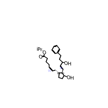 CC(C)OC(=O)CCC/C=C\C[C@H]1CCC(O)[C@@H]1/C=C/C(O)CCc1ccccc1